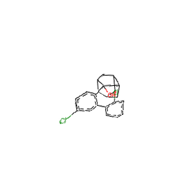 OC1(c2ccc(Cl)cc2-c2ccccc2Cl)C2CC3CC(C2)C1C3